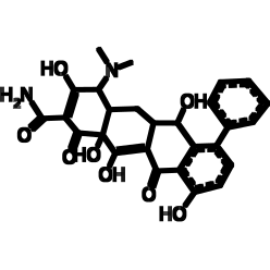 CN(C)C1C(O)=C(C(N)=O)C(=O)C2(O)C(O)=C3C(=O)c4c(O)ccc(-c5ccccc5)c4C(O)C3CC12